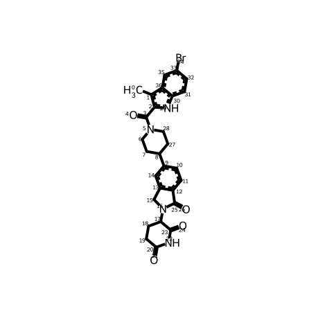 Cc1c(C(=O)N2CCC(c3ccc4c(c3)CN(C3CCC(=O)NC3=O)C4=O)CC2)[nH]c2ccc(Br)cc12